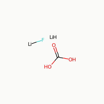 O=C(O)O.[LiH].[Li][F]